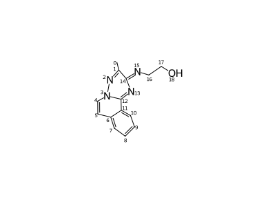 Cc1nn2ccc3ccccc3c2nc1=NCCO